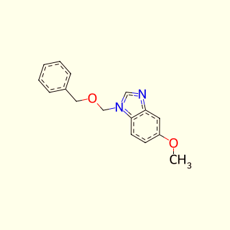 COc1ccc2c(c1)ncn2COCc1ccccc1